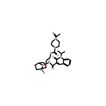 CC(=O)N1CCN(C(=O)OCCCN2C3CC[C@H]2CC(NC(=O)c2cc4ccccc4n(C(C)C)c2=O)C3)CC1